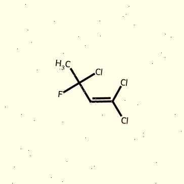 CC(F)(Cl)C=C(Cl)Cl